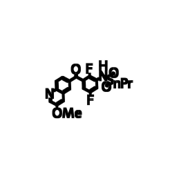 CCCS(=O)(=O)Nc1cc(F)cc(C(=O)c2ccc3ncc(OC)cc3c2)c1F